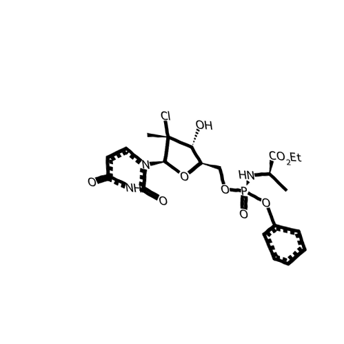 CCOC(=O)[C@@H](C)N[P@](=O)(OC[C@H]1O[C@@H](n2ccc(=O)[nH]c2=O)[C@](C)(Cl)[C@@H]1O)Oc1ccccc1